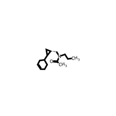 CCCN(C[C@H]1CC1C1CC=CCC1)C(C)=O